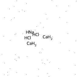 Cl.Cl.[CaH2].[CaH2].[NaH]